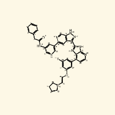 O=C(Cc1ccccc1)Nc1cncc(-c2cc3c(-c4nc5c(-c6cc(F)cc(OCCN7CCCC7)c6)ccnc5[nH]4)n[nH]c3cn2)c1